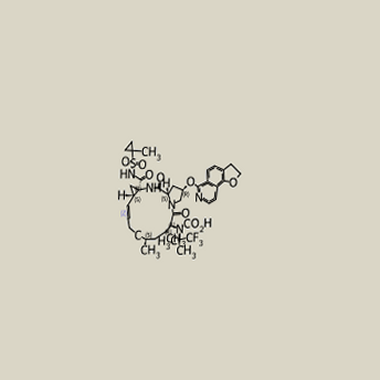 C[C@H]1CC/C=C\[C@@H]2C[C@@]2(C(=O)NS(=O)(=O)C2(C)CC2)NC(=O)[C@@H]2C[C@@H](Oc3nccc4c5c(ccc34)CCO5)CN2C(=O)[C@@H](N(C(=O)O)C(C)(C)C(F)(F)F)[C@H](C)C1